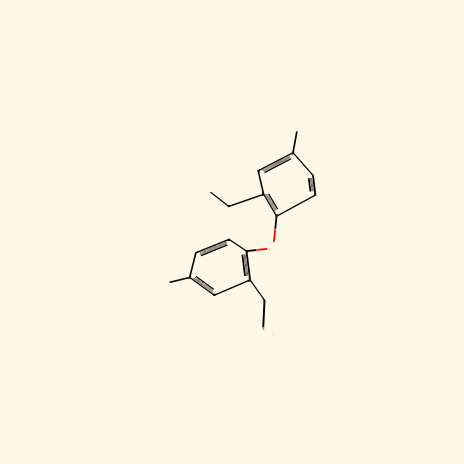 CCc1cc(C)ccc1Oc1ccc(C)cc1CC